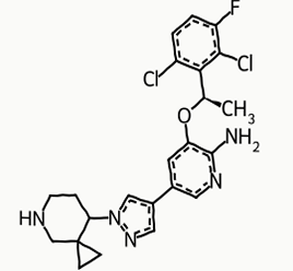 C[C@@H](Oc1cc(-c2cnn(C3CCNCC34CC4)c2)cnc1N)c1c(Cl)ccc(F)c1Cl